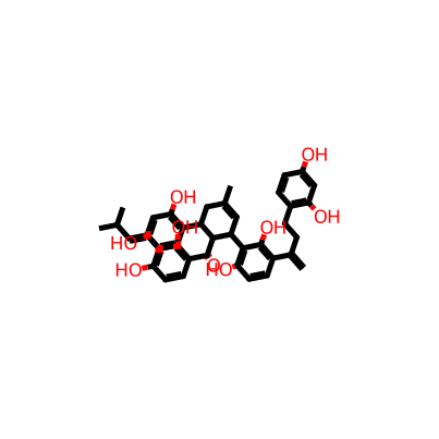 C=C(CCc1ccc(O)cc1O)c1ccc(O)c(C2C=C(C)CC(c3ccc(O)cc3O)C2C(=O)c2ccc(O)c(/C=C/C(C)C)c2O)c1O